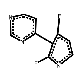 Fc1ccnc(F)c1-c1ccncn1